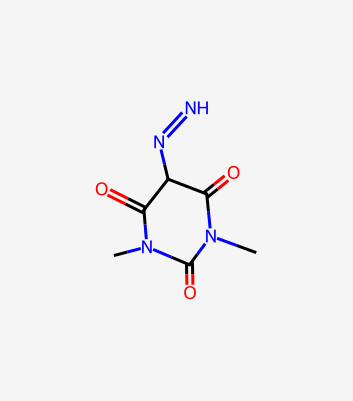 CN1C(=O)C(N=N)C(=O)N(C)C1=O